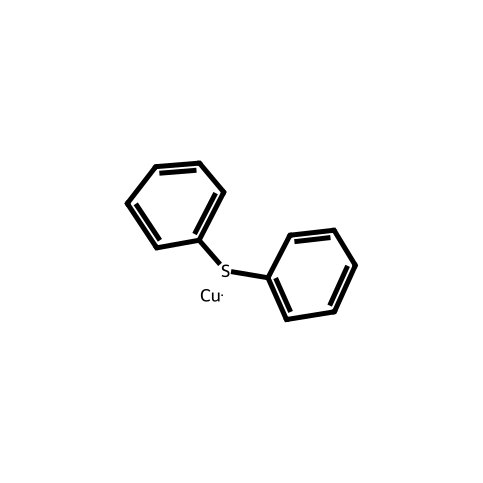 [Cu].c1ccc(Sc2ccccc2)cc1